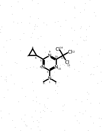 CN(C)c1nc(C2CC2)nc(C(Cl)(Cl)Cl)n1